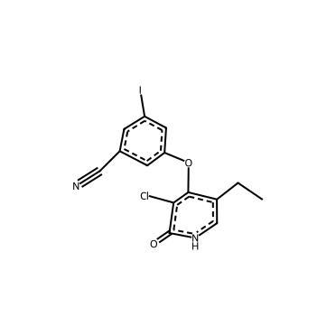 CCc1c[nH]c(=O)c(Cl)c1Oc1cc(I)cc(C#N)c1